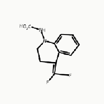 O=C(O)NN1CCC(=C(F)F)c2ccccc21